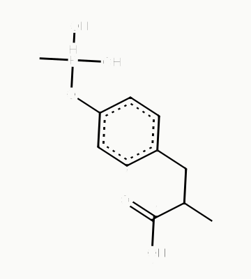 CC(Cc1ccc(O[PH](C)(O)O)cc1)C(=O)O